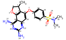 CC1COc2c1c(Oc1ccc(S(=O)(=O)N(C)C)cc1)cc1nc(N)nc(N)c21